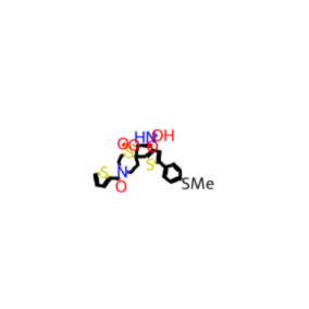 CSc1ccc(-c2ccc(C3(CC(=O)NO)CCN(C(=O)c4cccs4)CCS3(=O)=O)s2)cc1